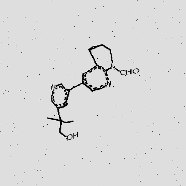 CC(C)(CO)c1cncc(-c2cnc3c(c2)CCCN3C=O)c1